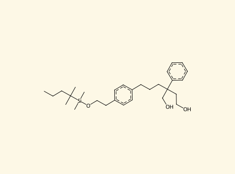 CCCC(C)(C)[Si](C)(C)OCCc1ccc(CCCC(CO)(CCO)c2ccccc2)cc1